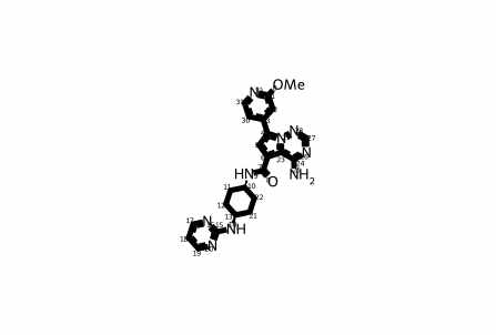 COc1cc(-c2cc(C(=O)N[C@H]3CC[C@H](Nc4ncccn4)CC3)c3c(N)ncnn23)ccn1